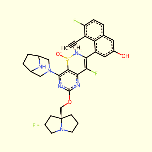 C#Cc1c(F)ccc2cc(O)cc(C3=C(F)c4nc(OC[C@@]56CCCN5C[C@H](F)C6)nc(N5CC6CCC(C5)N6)c4[S+]([O-])N3C)c12